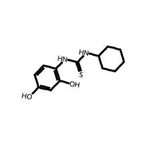 Oc1ccc(NC(=S)NC2CCCCC2)c(O)c1